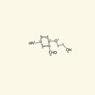 CCCc1ccc(OCCO)c(C=O)c1